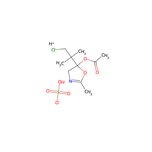 CC(=O)OC1(C(C)(C)CCl)CN=C(C)O1.O=S(=O)([O-])O.[H+]